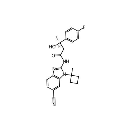 CC1(n2c(NC(=O)C[C@@](C)(O)c3ccc(F)cc3)nc3ccc(C#N)cc32)CCC1